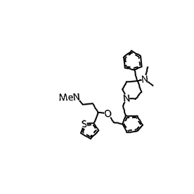 CNCCC(OCc1ccccc1CN1CCC(c2ccccc2)(N(C)C)CC1)c1cccs1